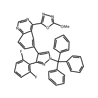 COc1nnc(-c2ncnc3ccc(-c4cn(C(c5ccccc5)(c5ccccc5)c5ccccc5)nc4-c4c(F)cccc4F)cc23)o1